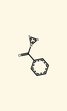 O=C(c1ccccc1)n1ss1